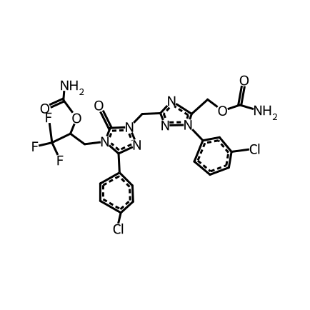 NC(=O)OCc1nc(Cn2nc(-c3ccc(Cl)cc3)n(CC(OC(N)=O)C(F)(F)F)c2=O)nn1-c1cccc(Cl)c1